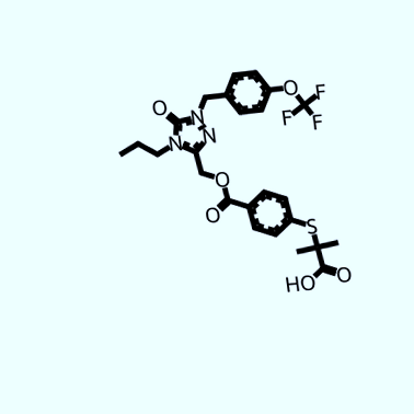 CCCn1c(COC(=O)c2ccc(SC(C)(C)C(=O)O)cc2)nn(Cc2ccc(OC(F)(F)F)cc2)c1=O